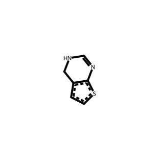 C1=Nc2sccc2CN1